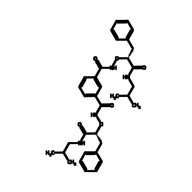 CC(C)CNC(=O)[C@@H](Cc1ccccc1)ONC(=O)c1cccc(C(=O)NO[C@H](Cc2ccccc2)C(=O)NCC(C)C)c1